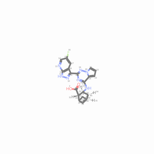 O=C(O)[C@@H]1[C@@H](Nc2nc(-c3n[nH]c4ncc(F)cc34)nn3cccc23)[C@@H]2CC[C@]13C[C@H]2C3